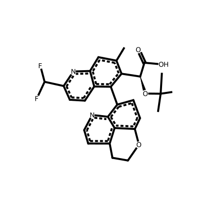 Cc1cc2nc(C(F)F)ccc2c(-c2ccc3c4c(ccnc24)CCO3)c1[C@H](OC(C)(C)C)C(=O)O